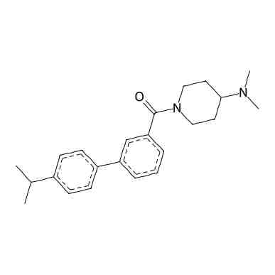 CC(C)c1ccc(-c2cccc(C(=O)N3CCC(N(C)C)CC3)c2)cc1